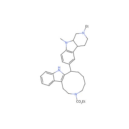 CCOC(=O)N1CCCCC(c2ccc3c(c2)C2CCN(CC)CC2N3C)c2[nH]c3ccccc3c2CC1